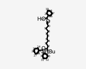 CC(C)(C)C(CCCCCCCCCCOC(O)c1ccccc1)O[SiH](c1ccccc1)c1ccccc1